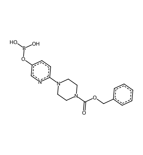 O=C(OCc1ccccc1)N1CCN(c2ccc(OB(O)O)cn2)CC1